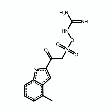 Cc1cccc2sc(C(=O)CS(=O)(=O)ONC(=N)N)cc12